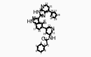 O=C(Cc1ccccc1)Nc1cncc(-c2ccc3[nH]nc(-c4nc5c(-c6cccs6)ccnc5[nH]4)c3c2F)c1